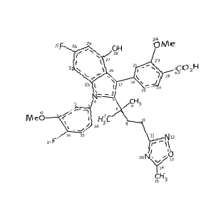 COc1cc(-n2c(C(C)(C)CCc3noc(C)n3)c(-c3ccc(C(=O)O)c(OC)c3)c3c(O)cc(F)cc32)ccc1F